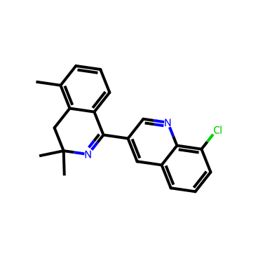 Cc1cccc2c1CC(C)(C)N=C2c1cnc2c(Cl)cccc2c1